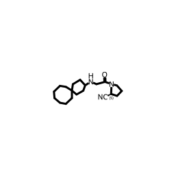 N#C[C@@H]1CCCN1C(=O)CNC1CCC2(CCCCCCC2)CC1